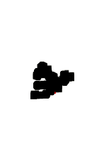 COc1ccc(C(=O)N(C)CC(CCN2CCCN(c3nc4ccccc4n3Cc3ccco3)CC2)c2ccc(Cl)c(Cl)c2)c(OC)c1